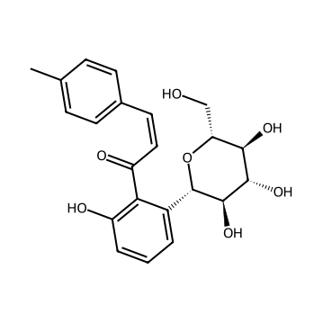 Cc1ccc(/C=C\C(=O)c2c(O)cccc2[C@@H]2O[C@H](CO)[C@@H](O)[C@H](O)[C@H]2O)cc1